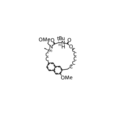 COCN1C(=O)[C@H](C(C)(C)C)NC(=O)OCCCCCCc2cc3cc(ccc3cc2OC)CC[C@H]1C